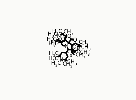 CN1C(C)(C)CC(C(C(=O)O)N(CC(=O)O)C(C(=O)O)(C2CC(C)(C)N(C)C(C)(C)C2)C2CC(C)(C)N(C)C(C)(C)C2)CC1(C)C